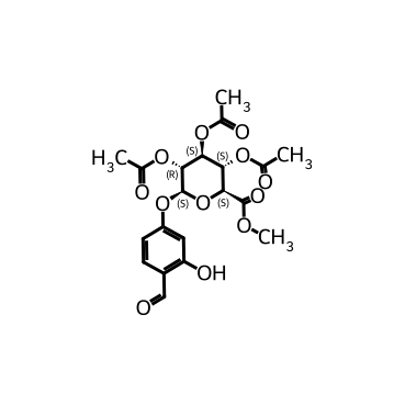 COC(=O)[C@H]1O[C@@H](Oc2ccc(C=O)c(O)c2)[C@H](OC(C)=O)[C@@H](OC(C)=O)[C@@H]1OC(C)=O